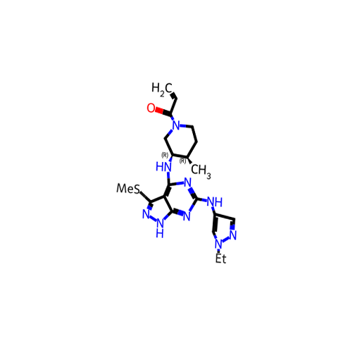 C=CC(=O)N1CC[C@@H](C)[C@@H](Nc2nc(Nc3cnn(CC)c3)nc3[nH]nc(SC)c23)C1